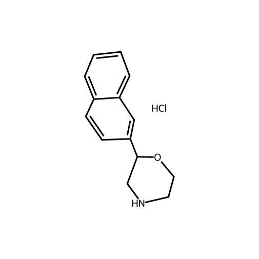 Cl.c1ccc2cc(C3CNCCO3)ccc2c1